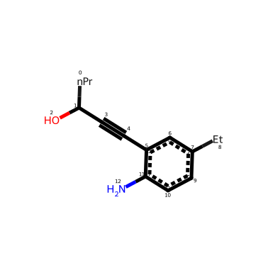 CCCC(O)C#Cc1cc(CC)ccc1N